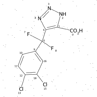 O=C(O)c1[nH]nnc1C(F)(F)c1ccc(Cl)c(Cl)c1